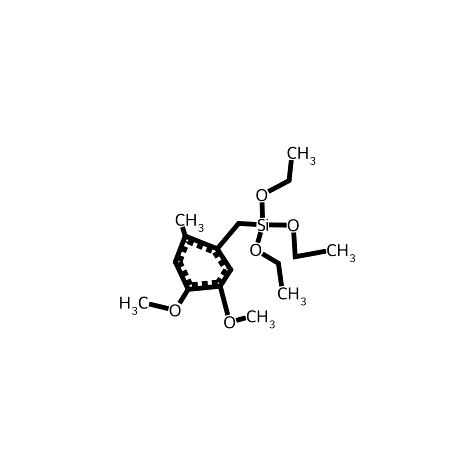 CCO[Si](Cc1cc(OC)c(OC)cc1C)(OCC)OCC